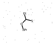 CCCOC([S])CC